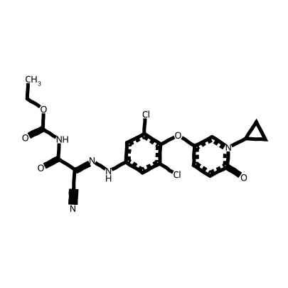 CCOC(=O)NC(=O)/C(C#N)=N/Nc1cc(Cl)c(Oc2ccc(=O)n(C3CC3)c2)c(Cl)c1